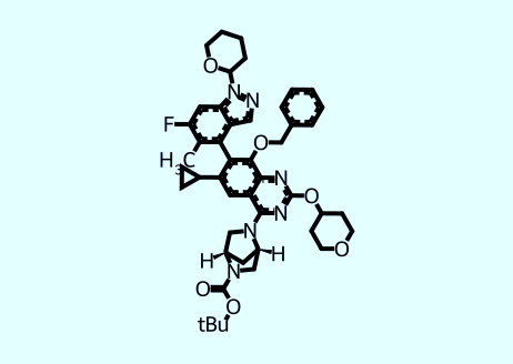 Cc1c(F)cc2c(cnn2C2CCCCO2)c1-c1c(C2CC2)cc2c(N3C[C@@H]4C[C@H]3CN4C(=O)OC(C)(C)C)nc(OC3CCOCC3)nc2c1OCc1ccccc1